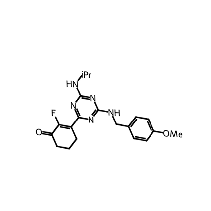 COc1ccc(CNc2nc(NC(C)C)nc(C3=C(F)C(=O)CCC3)n2)cc1